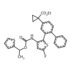 CCOC(=O)C1(c2ccc(-c3ccccc3)c(-c3sc(F)cc3NC(=O)OC(C)c3cccs3)c2)CC1